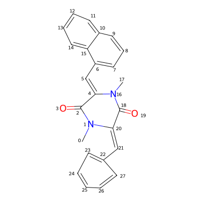 Cn1c(=O)c(=Cc2cccc3ccccc23)n(C)c(=O)c1=Cc1ccccc1